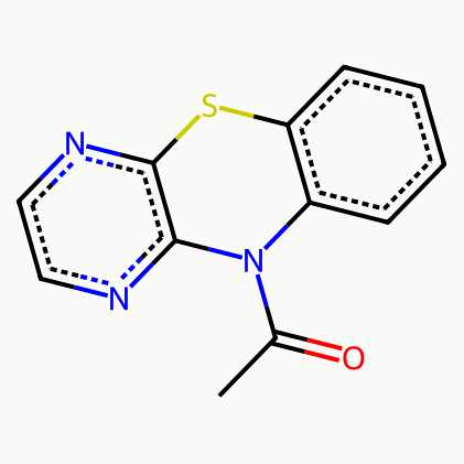 CC(=O)N1c2ccccc2Sc2nccnc21